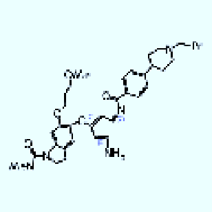 CNC(=O)N1CCc2cc(OC(/C=C/N)=C/C=N\C(=O)c3ccc(C4CCN(CC(C)C)CC4)cc3)c(OCCCOC)cc21